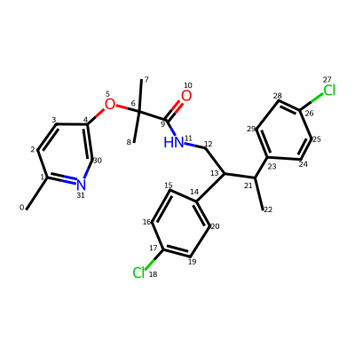 Cc1ccc(OC(C)(C)C(=O)NCC(c2ccc(Cl)cc2)C(C)c2ccc(Cl)cc2)cn1